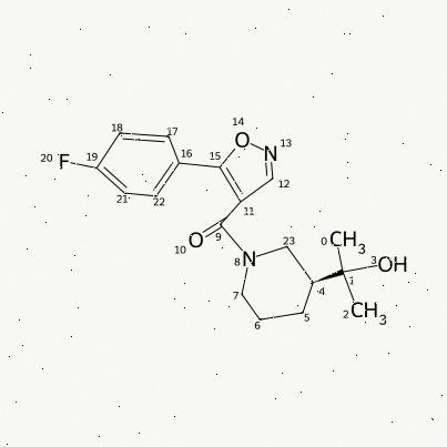 CC(C)(O)[C@H]1CCCN(C(=O)c2cnoc2-c2ccc(F)cc2)C1